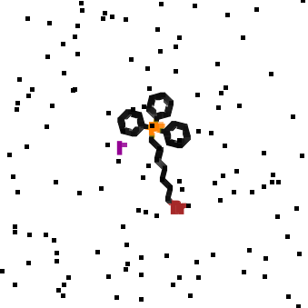 BrCCCCC=CC[P+](c1ccccc1)(c1ccccc1)c1ccccc1.[I-]